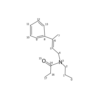 CCCN(C/C=C(\C)c1ccccc1)C(=O)CC